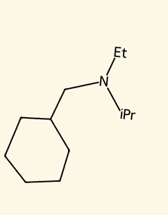 CCN(CC1CCCCC1)C(C)C